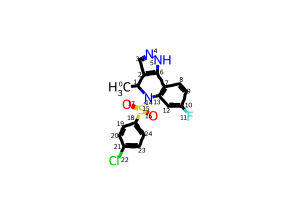 CC1c2cn[nH]c2-c2ccc(F)cc2N1S(=O)(=O)c1ccc(Cl)cc1